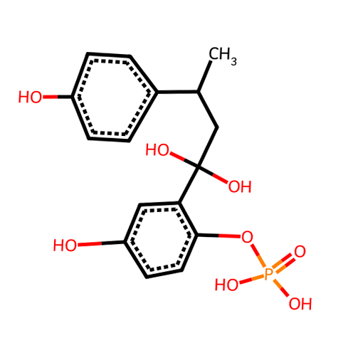 CC(CC(O)(O)c1cc(O)ccc1OP(=O)(O)O)c1ccc(O)cc1